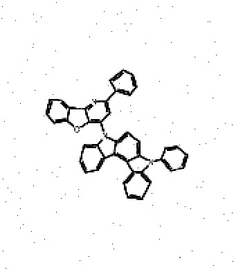 c1ccc(-c2cc(-n3c4ccccc4c4c5c6ccccc6n(-c6ccccc6)c5ccc43)c3oc4ccccc4c3n2)cc1